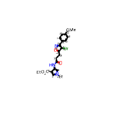 CCOC(=O)c1cn(CC)cc1NC(=O)CCc1onc(-c2ccc(OC)cc2)c1Br